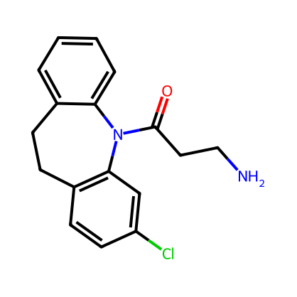 NCCC(=O)N1c2ccccc2CCc2ccc(Cl)cc21